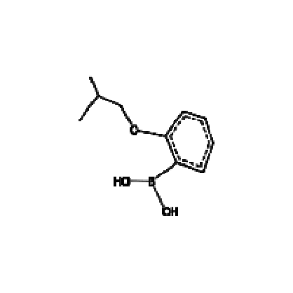 CC(C)COc1ccccc1B(O)O